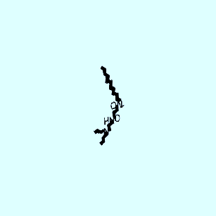 CCCCCCCCCCCCN(C)C(=O)CCC(=O)NCCCN(CCCC)CCCC